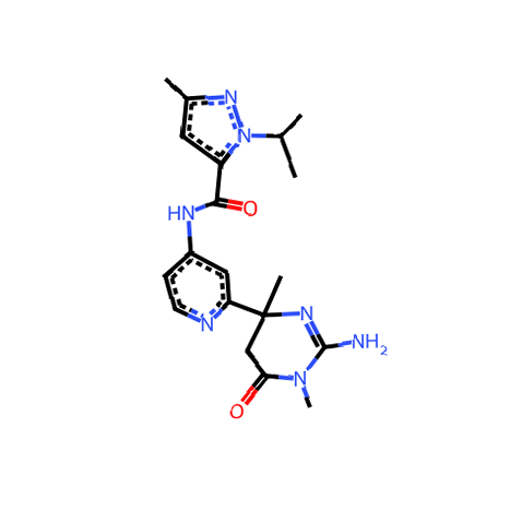 Cc1cc(C(=O)Nc2ccnc(C3(C)CC(=O)N(C)C(N)=N3)c2)n(C(C)C)n1